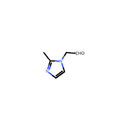 Cc1nccn1C[C]=O